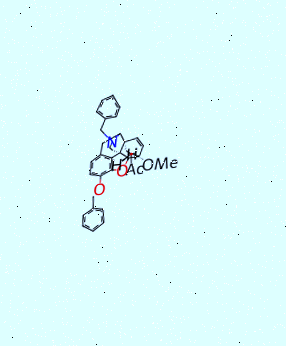 CO[C@@]12C=C[C@]3(C[C@H]1C(C)=O)C1Cc4ccc(OCc5ccccc5)c5c4[C@]3(CCN1Cc1ccccc1)[C@@H]2O5